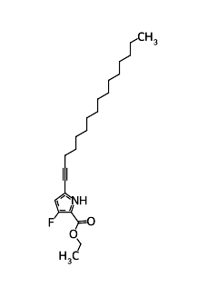 CCCCCCCCCCCCCCC#Cc1cc(F)c(C(=O)OCC)[nH]1